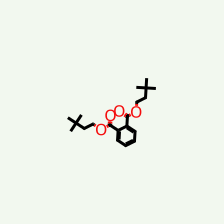 CC(C)(C)CCOC(=O)c1ccccc1C(=O)OCCC(C)(C)C